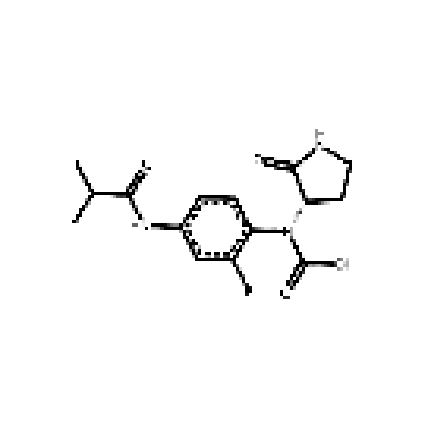 CC(C)C(=O)Nc1ccc(N(C(=O)O)[C@H]2CCNC2=O)c(F)c1